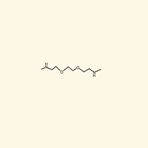 CNCCOCCOCCNC